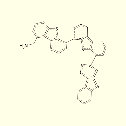 NCc1cccc2sc3c(-c4cccc5c4sc4c(-c6ccc7c(c6)sc6ccccc67)cccc45)cccc3c12